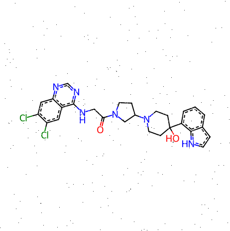 O=C(CNc1ncnc2cc(Cl)c(Cl)cc12)N1CCC(N2CCC(O)(c3cccc4cc[nH]c34)CC2)C1